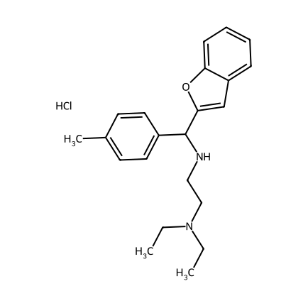 CCN(CC)CCNC(c1ccc(C)cc1)c1cc2ccccc2o1.Cl